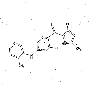 Cc1cc(C)c(C(=S)c2ccc(Nc3ccccc3C)cc2Cl)[nH]1